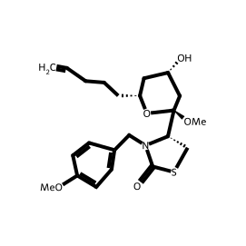 C=CCCC[C@@H]1C[C@H](O)C[C@](OC)([C@@H]2CSC(=O)N2Cc2ccc(OC)cc2)O1